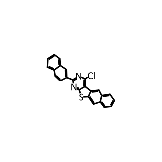 Clc1nc(-c2ccc3ccccc3c2)nc2sc3cc4ccccc4cc3c12